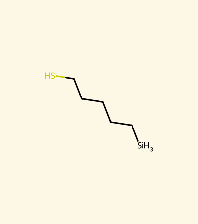 [SiH3]CCCCCS